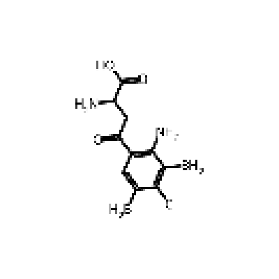 Bc1cc(C(=O)CC(N)C(=O)O)c(N)c(B)c1Cl